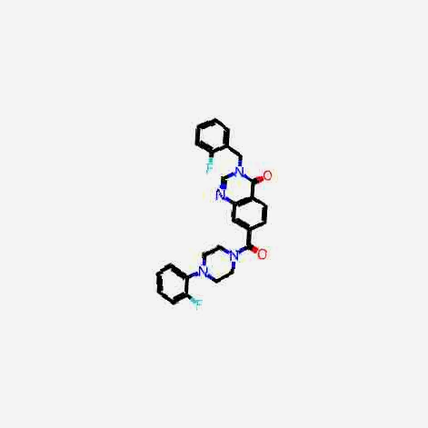 O=C(c1ccc2c(=O)n(Cc3ccccc3F)cnc2c1)N1CCN(c2ccccc2F)CC1